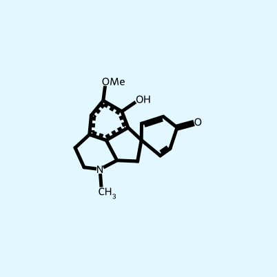 COc1cc2c3c(c1O)C1(C=CC(=O)C=C1)CC3N(C)CC2